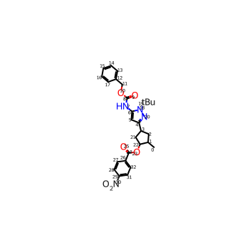 CC1CC(c2cc(NC(=O)OCc3ccccc3)n(C(C)(C)C)n2)CC1OC(=O)c1ccc([N+](=O)[O-])cc1